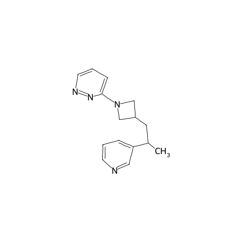 CC(CC1CN(c2cccnn2)C1)c1cccnc1